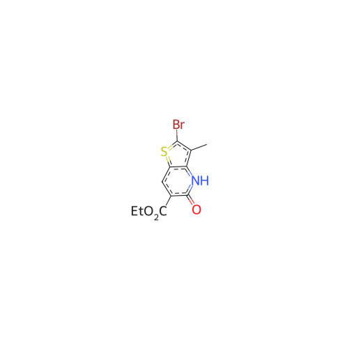 CCOC(=O)c1cc2sc(Br)c(C)c2[nH]c1=O